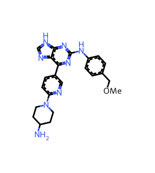 COCc1ccc(Nc2nc(-c3ccc(N4CCC(N)CC4)nc3)c3nc[nH]c3n2)cc1